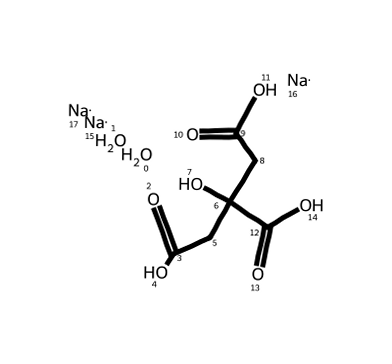 O.O.O=C(O)CC(O)(CC(=O)O)C(=O)O.[Na].[Na].[Na]